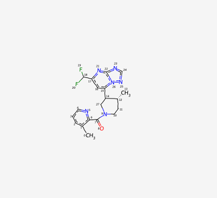 Cc1cccnc1C(=O)N1CC[C@@H](C)C(c2cc(C(F)F)nc3ncnn23)C1